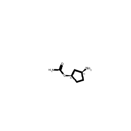 NC(=O)O[C@@H]1CC[C@H](N)C1